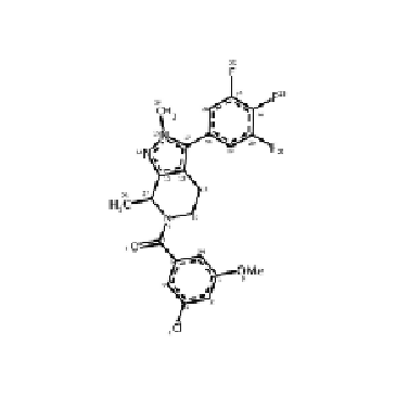 COc1cc(Cl)cc(C(=O)N2CCc3c(nn(C)c3-c3cc(F)c(F)c(F)c3)C2C)c1